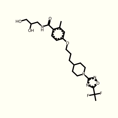 Cc1cc(OCCCC2CCN(c3noc(C(C)(F)F)n3)CC2)ccc1C(=O)NCC(O)CO